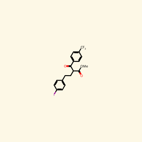 COC(=O)C(CCc1ccc(I)cc1)C(=O)c1ccc(C(F)(F)F)cc1